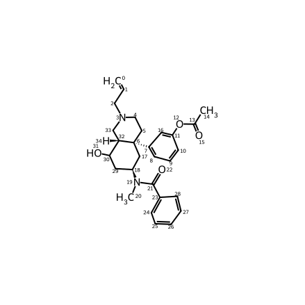 C=CCN1CC[C@@]2(c3cccc(OC(C)=O)c3)C[C@@H](N(C)C(=O)c3ccccc3)CC(O)[C@@H]2C1